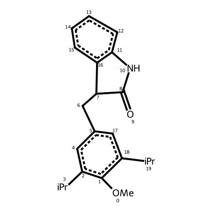 COc1c(C(C)C)cc(CC2C(=O)Nc3ccccc32)cc1C(C)C